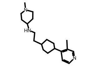 Cc1cnccc1C1CCC(CCNC2CCN(C)CC2)CC1